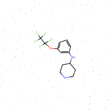 FC(F)(F)C(F)(F)Oc1cccc(NC2CC[N]CC2)c1